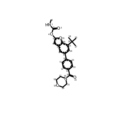 CNC(=O)Oc1cc2cc(-c3ccc(C(=O)N4CCOCC4)cc3)cc(C(C)(C)C)c2o1